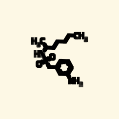 CCCCCC(C)NS(=O)(=O)Cc1cccc(N)c1